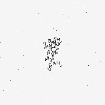 CCOC[C@@H](N)[C@H]1CN(c2c(F)cc3c(=O)n(N)c(=O)n(C4CC4)c3c2C)C[C@@H]1F